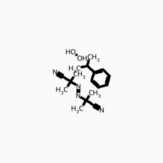 CC(C)(C#N)/N=N/C(C)(C)C#N.CC(C)c1ccccc1.OO